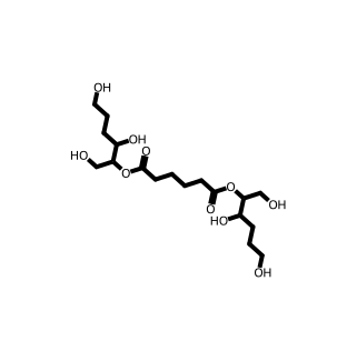 O=C(CCCCC(=O)OC(CO)C(O)CCCO)OC(CO)C(O)CCCO